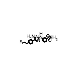 Nc1nc(Nc2cccc(S(N)(=O)=O)c2)ncc1-c1ccc(CCCF)cc1